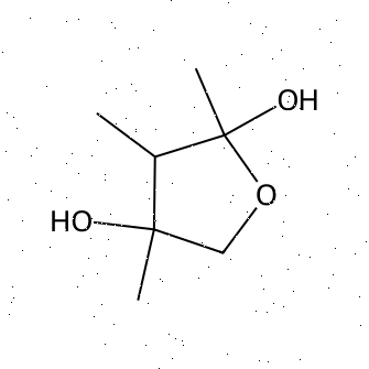 CC1C(C)(O)COC1(C)O